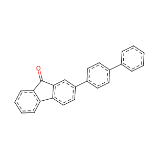 O=C1c2ccccc2-c2ccc(-c3ccc(-c4ccccc4)cc3)cc21